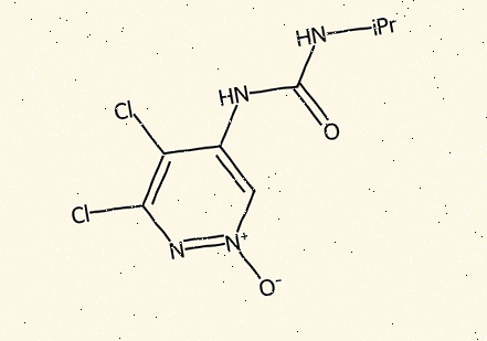 CC(C)NC(=O)Nc1c[n+]([O-])nc(Cl)c1Cl